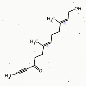 CC#CC(=O)CC/C(C)=C/CC/C(C)=C/CO